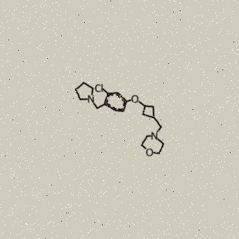 Clc1cc(OC2CC(CN3CCOCC3)C2)ccc1CN1CCCC1